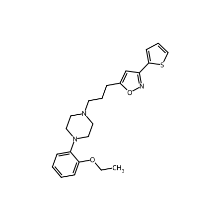 CCOc1ccccc1N1CCN(CCCc2cc(-c3cccs3)no2)CC1